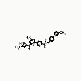 Cc1ccn(-c2ccc(CNC(=O)c3ccc(-c4nc(C)cc(Nc5cc(C)[nH]n5)n4)cn3)cn2)c1